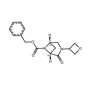 O=C1[C@H]2C[C@@H](CN1C1COC1)N2C(=O)OCc1ccccc1